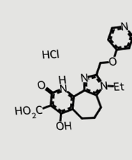 CCn1c(COc2ccncc2)nc2c1CCCc1c-2[nH]c(=O)c(C(=O)O)c1O.Cl